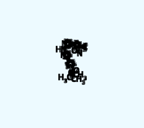 CC(C)(C)OC(=O)N1CCC(c2ccc(Nc3cc(N4CC[C@@](C#N)(C5CC5)C4=O)ccn3)nc2)CC1